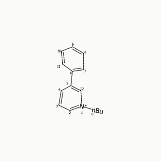 CCCC[n+]1cccc(-c2ccccc2)c1